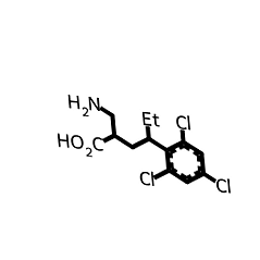 CCC(CC(CN)C(=O)O)c1c(Cl)cc(Cl)cc1Cl